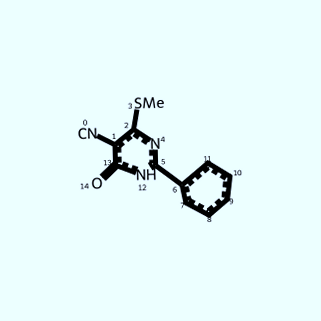 [C-]#[N+]c1c(SC)nc(-c2ccccc2)[nH]c1=O